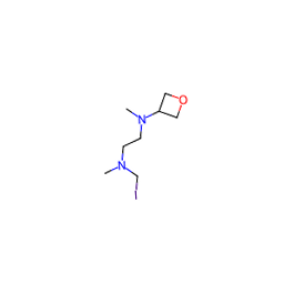 CN(CI)CCN(C)C1COC1